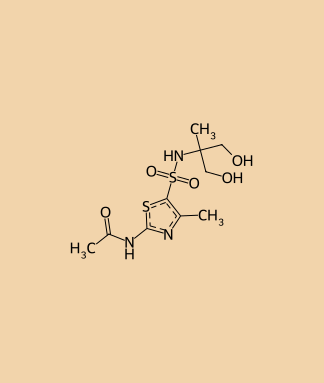 CC(=O)Nc1nc(C)c(S(=O)(=O)NC(C)(CO)CO)s1